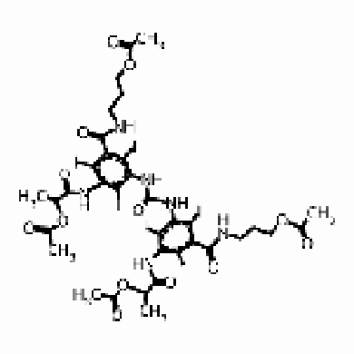 CC(=O)OCCCNC(=O)c1c(I)c(NC(=O)Nc2c(I)c(NC(=O)C(C)OC(C)=O)c(I)c(C(=O)NCCCOC(C)=O)c2I)c(I)c(NC(=O)C(C)OC(C)=O)c1I